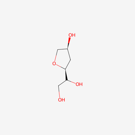 OCC(O)[C@@H]1C[C@H](O)CO1